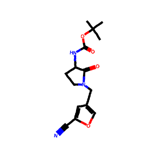 CC(C)(C)OC(=O)NC1CCN(Cc2coc(C#N)c2)C1=O